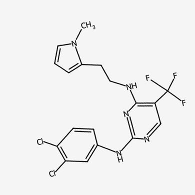 Cn1cccc1CCNc1nc(Nc2ccc(Cl)c(Cl)c2)ncc1C(F)(F)F